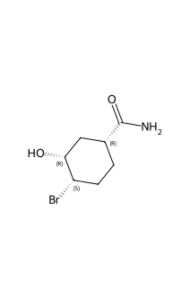 NC(=O)[C@@H]1CC[C@H](Br)[C@H](O)C1